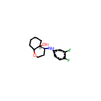 O[C@]12CCCCC1OCCC2Nc1ccc(F)c(F)c1